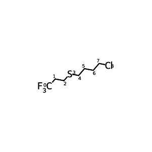 FC(F)(F)CCSCCCCCl